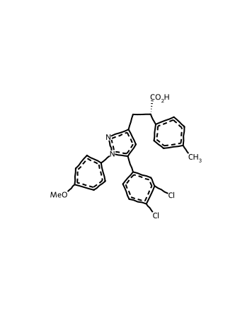 COc1ccc(-n2nc(C[C@H](C(=O)O)c3ccc(C)cc3)cc2-c2ccc(Cl)c(Cl)c2)cc1